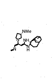 C=N/C=C(\C=C(/N)NC1CCC2CC3CC(C2)C1C3)N1CC[C@H](NC)C1